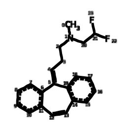 CN(CCC=C1c2ccccc2C=Cc2ccccc21)CC(F)F